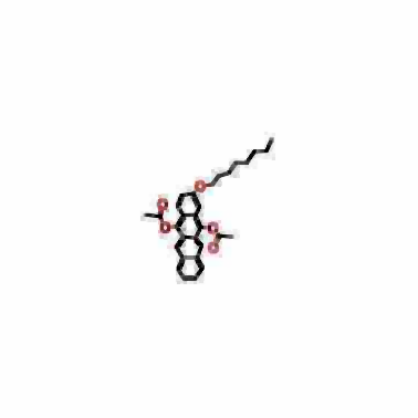 CCCCCCCCOc1ccc2c(OC(C)=O)c3cc4ccccc4cc3c(OC(C)=O)c2c1